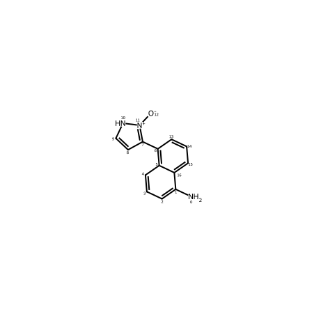 Nc1cccc2c(-c3cc[nH][n+]3[O-])cccc12